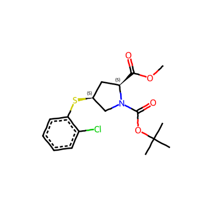 COC(=O)[C@@H]1C[C@H](Sc2ccccc2Cl)CN1C(=O)OC(C)(C)C